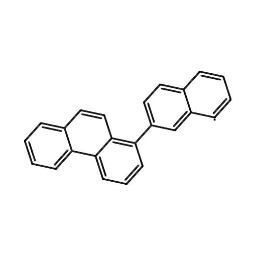 [c]1cccc2ccc(-c3cccc4c3ccc3ccccc34)cc12